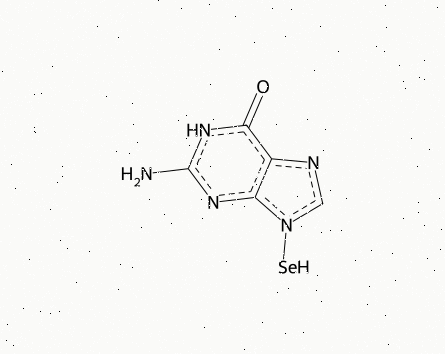 Nc1nc2c(ncn2[SeH])c(=O)[nH]1